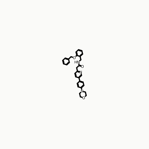 O=C(Cc1ccc(-c2ccc(N3CCOCC3)cc2)cn1)NCc1ccccc1OCc1ccccc1